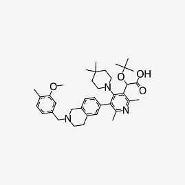 COc1cc(CN2CCc3cc(-c4c(C)nc(C)c(C(OC(C)(C)C)C(=O)O)c4N4CCC(C)(C)CC4)ccc3C2)ccc1C